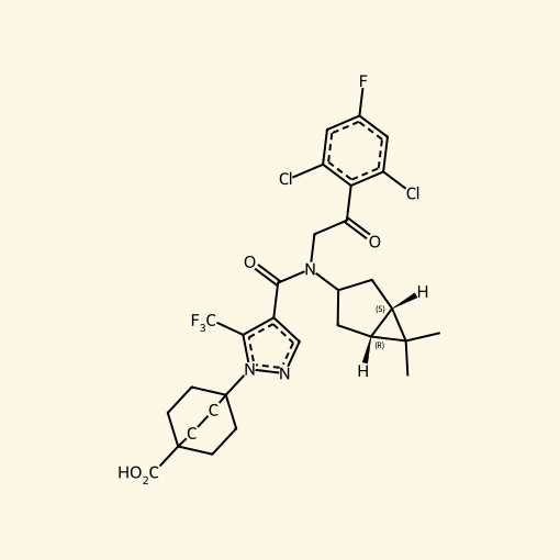 CC1(C)[C@@H]2CC(N(CC(=O)c3c(Cl)cc(F)cc3Cl)C(=O)c3cnn(C45CCC(C(=O)O)(CC4)CC5)c3C(F)(F)F)C[C@@H]21